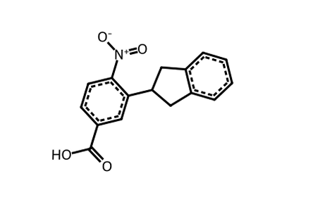 O=C(O)c1ccc([N+](=O)[O-])c(C2Cc3ccccc3C2)c1